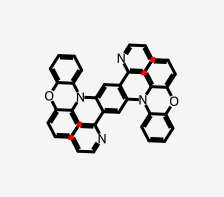 c1ccc(-c2cc(N3c4ccccc4Oc4ccccc43)c(-c3ccccn3)cc2N2c3ccccc3Oc3ccccc32)nc1